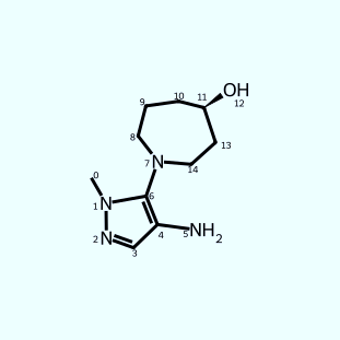 Cn1ncc(N)c1N1CCC[C@@H](O)CC1